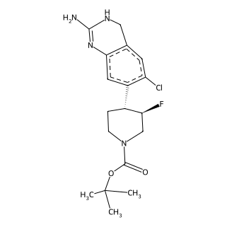 CC(C)(C)OC(=O)N1CC[C@H](c2cc3c(cc2Cl)CNC(N)=N3)[C@@H](F)C1